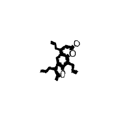 C=CCc1cc(=O)oc2c(CC=C)c3oc(C)c(CC=C)c3cc12